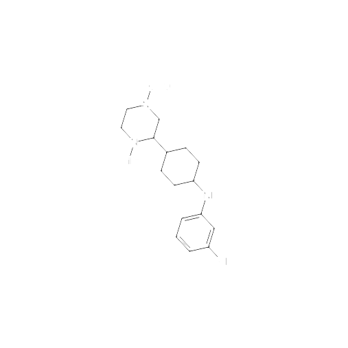 CC(C)N1CCN(C=O)CC1C1CCC(Nc2cccc(Cl)c2)CC1